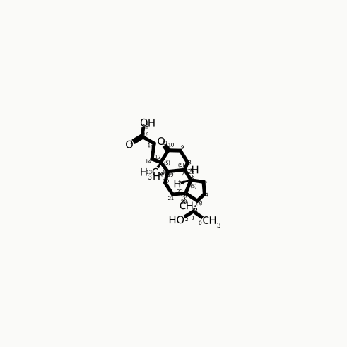 CC(O)[C@H]1CC[C@H]2[C@@H]3CCC(=O)[C@@](C)(CCC(=O)O)[C@@H]3CC[C@]12C